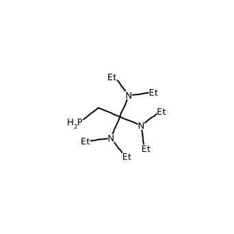 CCN(CC)C(CP)(N(CC)CC)N(CC)CC